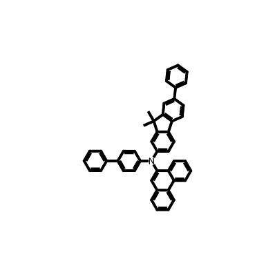 CC1(C)c2cc(-c3ccccc3)ccc2-c2ccc(N(c3ccc(-c4ccccc4)cc3)c3cc4ccccc4c4ccccc34)cc21